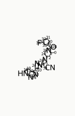 CC1CC(N2CC(CC#N)(n3cc(-c4ncnc5[nH]ccc45)cn3)C2)CCN1C(=O)c1cccc(F)c1